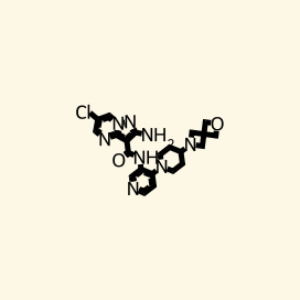 Nc1nn2cc(Cl)cnc2c1C(=O)Nc1cnccc1N1CCC(N2CC3(COC3)C2)CC1